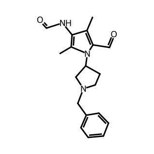 Cc1c(NC=O)c(C)n(C2CCN(Cc3ccccc3)C2)c1C=O